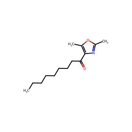 CCCCCCCCC(=O)c1nc(C)oc1C